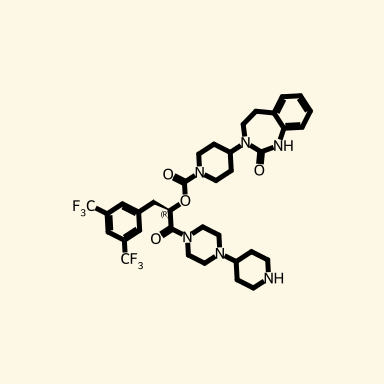 O=C(O[C@H](Cc1cc(C(F)(F)F)cc(C(F)(F)F)c1)C(=O)N1CCN(C2CCNCC2)CC1)N1CCC(N2CCc3ccccc3NC2=O)CC1